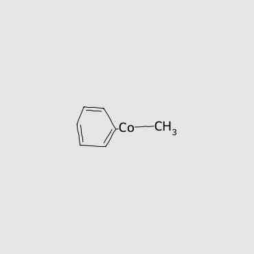 [CH3][Co][c]1ccccc1